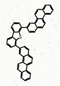 c1ccc2c(c1)ccc1c3cc(-c4cccc5c4sc4c(-c6ccc7ccc8c9ccccc9ccc8c7c6)cccc45)ccc3ccc21